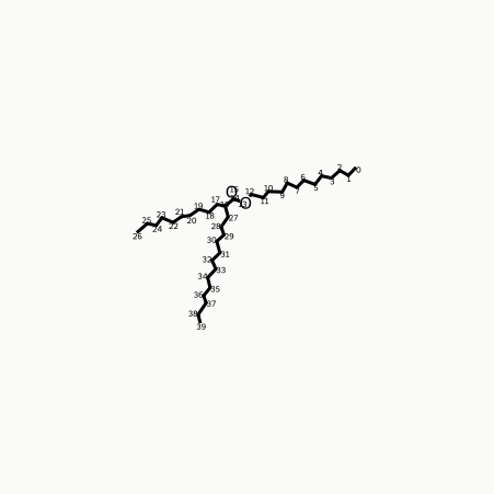 CCCCCCCCCCCCCOC(=O)C(CCCCCCCCCC)CCCCCCCCCCCCC